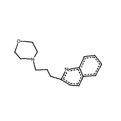 [CH](CCN1CCOCC1)c1ccc2ccccc2n1